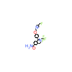 NC(=O)c1ccc2c(c1)CCN(CC(F)(F)F)[C@@H]2c1ccc(OCCN2CC(CF)C2)cc1